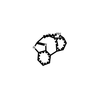 [c]1cc2c3c(c1)-c1ccc4[nH]c(nc4c1)C(=N3)[N]2